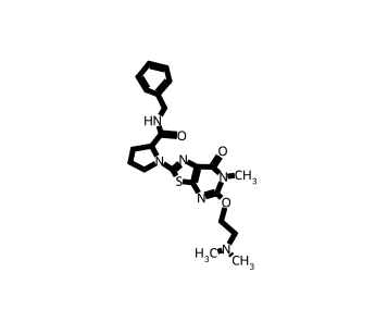 CN(C)CCOc1nc2sc(N3CCCC3C(=O)NCc3ccccc3)nc2c(=O)n1C